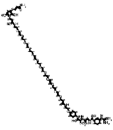 NC(=O)CCSC1CC(O)N(CCC(O)NCCOCCOCCOCCOCCOCCOCCOCCOCCOCCOCCOCCOCCC(=O)NCCOC2CCC(NC(O)C(NC(=O)CNC(O)[C@@H]3CCCC(NC(N)N)C3)C(=O)O)CC2)C1O